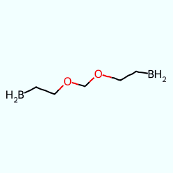 BCCOCOCCB